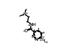 CN(C)CCNC(=O)c1ccc([131I])nn1